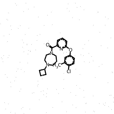 Cc1cc(Oc2cccc(C(=O)N3CCCN(C4CCC4)CC3)n2)ccc1Cl